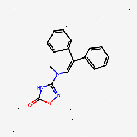 CN(C=C(c1ccccc1)c1ccccc1)c1noc(=O)[nH]1